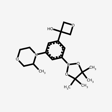 CC1COCCN1c1cc(B2OC(C)(C)C(C)(C)O2)cc(C2(O)COC2)c1